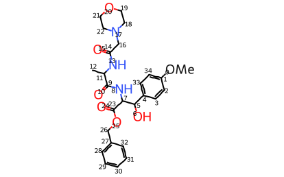 COc1ccc(C(O)C(NC(=O)C(C)NC(=O)CN2CCOCC2)C(=O)OCc2ccccc2)cc1